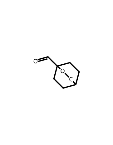 O=CC12CCC(CC1)CO2